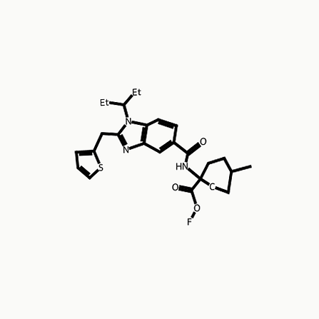 CCC(CC)n1c(Cc2cccs2)nc2cc(C(=O)NC3(C(=O)OF)CCC(C)CC3)ccc21